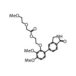 COCCOCC(=O)OCCOc1c(-c2ccc3c(c2)CNC3=O)ccc(OC)c1OC